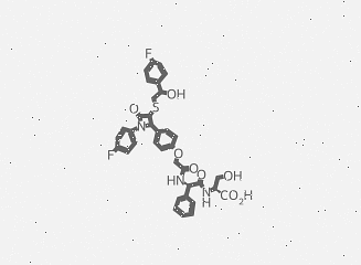 O=C(COc1ccc(C2C(SCC(O)c3ccc(F)cc3)C(=O)N2c2ccc(F)cc2)cc1)N[C@@H](C(=O)N[C@@H](CO)C(=O)O)c1ccccc1